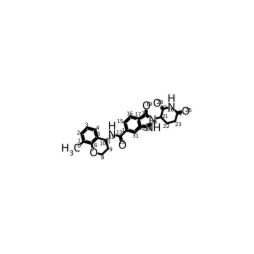 Cc1cccc2c1OCC[C@H]2NC(=O)c1ccc2c(=O)n(C3CCC(=O)NC3=O)[nH]c2c1